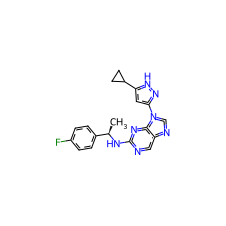 C[C@@H](Nc1ncc2ncn(-c3cc(C4CC4)[nH]n3)c2n1)c1ccc(F)cc1